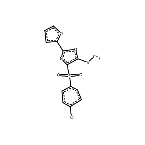 CSc1oc(-c2ccco2)nc1S(=O)(=O)c1ccc(Cl)cc1